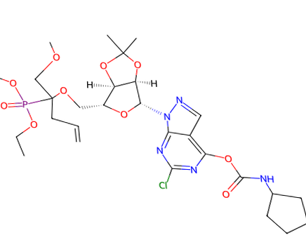 C=CCC(COC)(OC[C@H]1O[C@@H](n2ncc3c(OC(=O)NC4CCCC4)nc(Cl)nc32)[C@@H]2OC(C)(C)O[C@@H]21)P(=O)(OCC)OCC